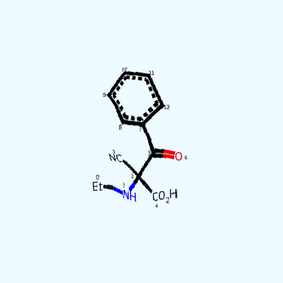 CCNC(C#N)(C(=O)O)C(=O)c1ccccc1